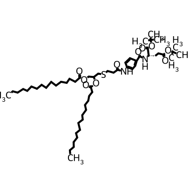 CCCCCCCCCCCCCCCC(=O)OCC(CSCCC(=O)Nc1ccc(C(=O)N[C@@H](CCC(=O)OC(C)(C)C)C(=O)OC(C)(C)C)cc1)OC(=O)CCCCCCCCCCCCCCC